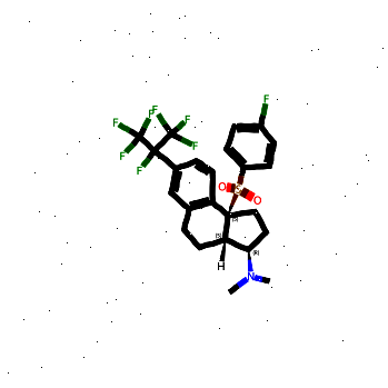 CN(C)[C@@H]1CC[C@@]2(S(=O)(=O)c3ccc(F)cc3)c3ccc(C(F)(C(F)(F)F)C(F)(F)F)cc3CC[C@@H]12